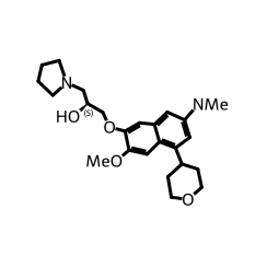 CNc1cc(C2CCOCC2)c2cc(OC)c(OC[C@@H](O)CN3CCCC3)cc2c1